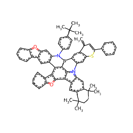 C=C1C=C(c2ccccc2)Sc2cc3c(cc21)B1c2c(c4c5ccccc5oc4c4c5cc6c(cc5n-3c24)C(C)(C)CCC6(C)C)-c2cc3c(cc2N1c1ccc(C(C)(C)C)cc1)oc1ccccc13